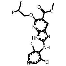 COC(=O)c1cc2nc(Nc3c(Cl)cncc3Cl)[nH]c2nc1OCC(F)F